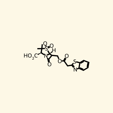 CC1(C)[C@H](C(=O)O)N2C(=O)C(COC(=O)Cc3nc4ccccc4s3)[C@H]2S1(=O)=O